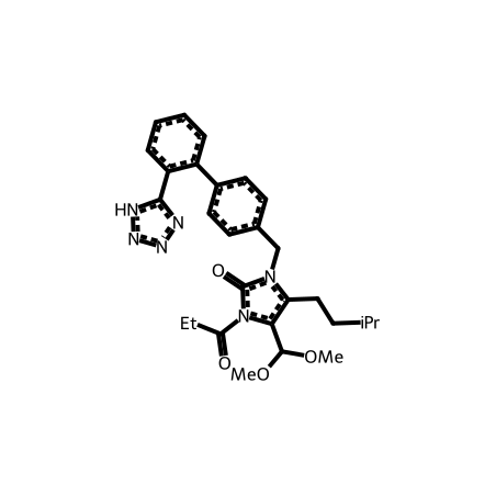 CCC(=O)n1c(C(OC)OC)c(CCC(C)C)n(Cc2ccc(-c3ccccc3-c3nnn[nH]3)cc2)c1=O